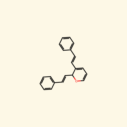 C1=COC(C=Cc2ccccc2)C(C=Cc2ccccc2)=C1